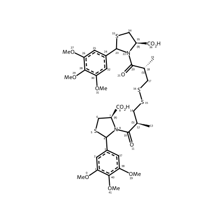 COc1cc(C2SC[C@@H](C(=O)O)N2C(=O)[C@H](C)CSSC[C@@H](C)C(=O)N2C(c3cc(OC)c(OC)c(OC)c3)SC[C@H]2C(=O)O)cc(OC)c1OC